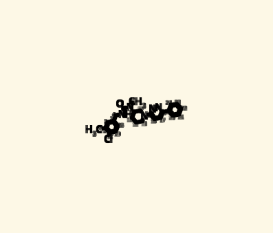 Cc1cc(CNC(=O)N(C)[C@@H]2CCCN(c3ccc(-c4ccccc4)nn3)C2)ccc1Cl